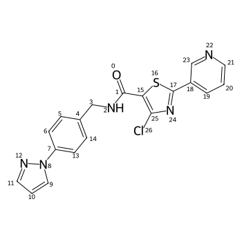 O=C(NCc1ccc(-n2cccn2)cc1)c1sc(-c2cccnc2)nc1Cl